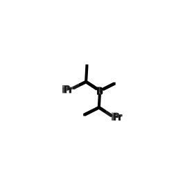 CB(C(C)C(C)C)C(C)C(C)C